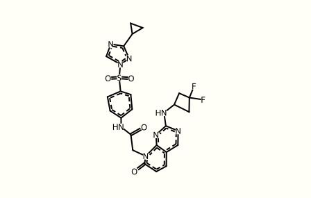 O=C(Cn1c(=O)ccc2cnc(NC3CC(F)(F)C3)nc21)Nc1ccc(S(=O)(=O)n2cnc(C3CC3)n2)cc1